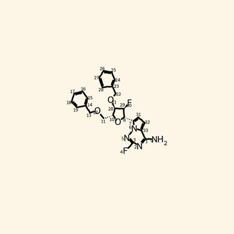 Nc1nc(F)nn2c([C@@H]3O[C@H](COCc4ccccc4)[C@@H](OCc4ccccc4)[C@H]3F)ccc12